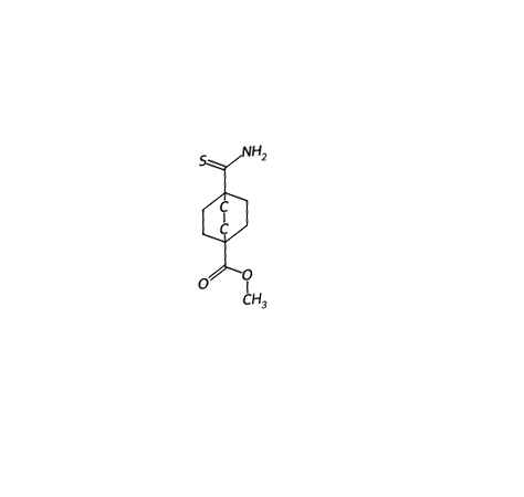 COC(=O)C12CCC(C(N)=S)(CC1)CC2